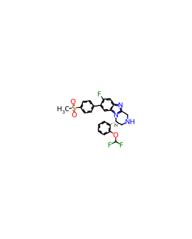 CS(=O)(=O)c1ccc(-c2cc3c(cc2F)nc2n3[C@@H](c3ccccc3OC(F)F)CNC2)cc1